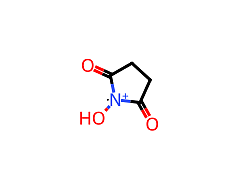 O=C1CCC(=O)[N+]1O